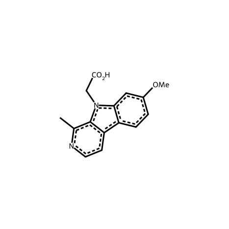 COc1ccc2c3ccnc(C)c3n(CC(=O)O)c2c1